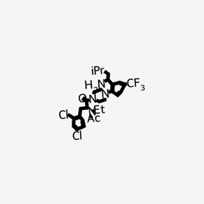 CCN(C(C)=O)C(Cc1ccc(Cl)cc1Cl)C(=O)N1CCN(c2ccc(C(F)(F)F)cc2C(N)CC(C)C)CC1